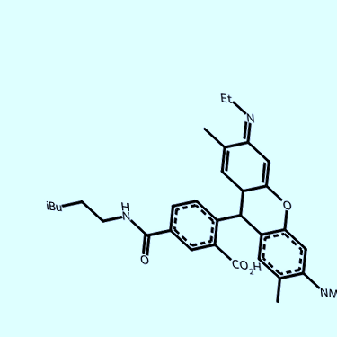 CC/N=C1/C=C2Oc3cc(NC)c(C)cc3C(c3ccc(C(=O)NCCC(C)CC)cc3C(=O)O)C2C=C1C